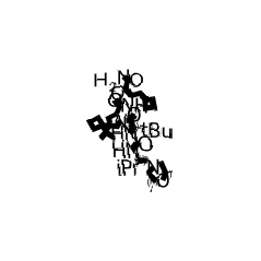 CC(C)[C@@H](CN1C[C@@H](C)O[C@@H](C)C1)NC(=O)N[C@H](C(=O)N1CC2(CC1C(=O)NC(CC1CCC1)C(=O)C(N)=O)C(C)(C)C21CCC1)C(C)(C)C